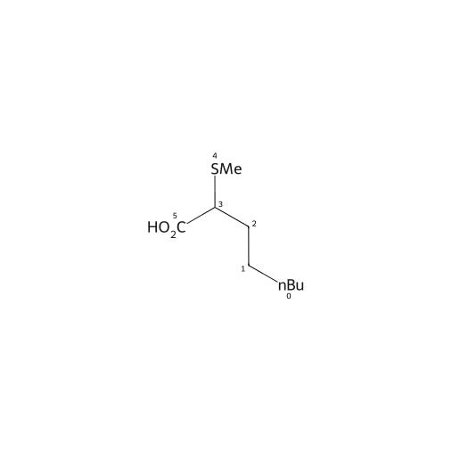 CCCCCCC(SC)C(=O)O